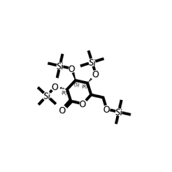 C[Si](C)(C)OCC1OC(=O)[C@H](O[Si](C)(C)C)[C@@H](O[Si](C)(C)C)[C@@H]1O[Si](C)(C)C